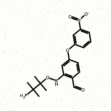 CC(C)(P)C(C)(C)OBc1cc(Oc2cccc([N+](=O)[O-])c2)ccc1C=O